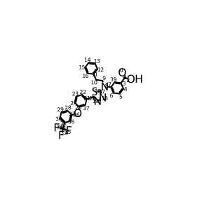 O=C(O)c1cccc(N(CCc2ccccc2)c2nnc(-c3cccc(Oc4cccc(C(F)(F)F)c4)c3)s2)c1